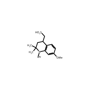 CCCN1c2cc(OC)ccc2C(CS(=O)(=O)O)CC1(C)C